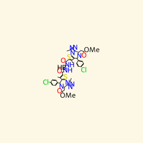 COC(=O)CC1N=C(c2ccc(Cl)cc2)c2c(sc(C(=O)NBNC(=O)c3sc4c(c3C)C(c3ccc(Cl)cc3)=NC(CC(=O)OC)c3nnc(C)n3-4)c2C)-n2c(C)nnc21